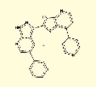 Fc1c(-c2cccnc2)cnc2[nH]nc(-c3nc4c(-c5ccncc5)ccnc4[nH]3)c12